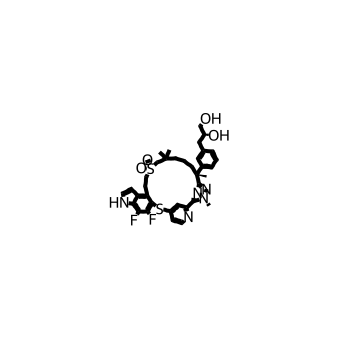 Cn1nc2nc1-c1cc(ccn1)Sc1c(F)c(F)c3[nH]ccc3c1CCS(=O)(=O)CC(C)(C)CCC[C@]2(C)c1cccc(C[C@H](O)CO)c1